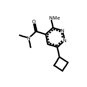 CNc1nnc(C2CCC2)cc1C(=O)N(C)C